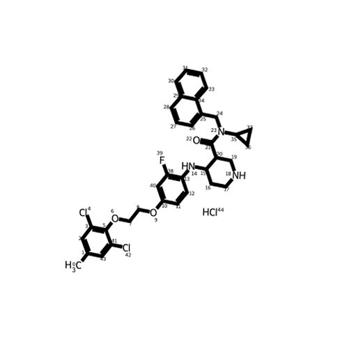 Cc1cc(Cl)c(OCCOc2ccc(NC3CCNCC3C(=O)N(Cc3cccc4ccccc34)C3CC3)c(F)c2)c(Cl)c1.Cl